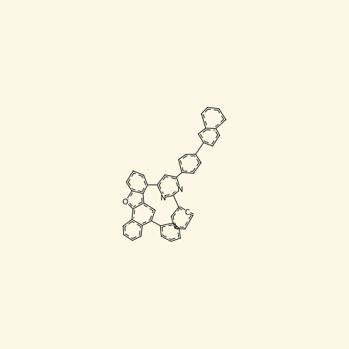 c1ccc(-c2nc(-c3ccc(-c4ccc5ccccc5c4)cc3)cc(-c3cccc4oc5c6ccccc6c(-c6ccccc6)cc5c34)n2)cc1